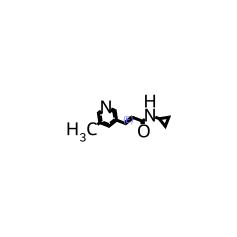 Cc1cncc(/C=C/C(=O)NC2CC2)c1